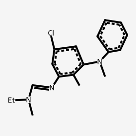 CCN(C)C=Nc1cc(Cl)cc(N(C)c2ccccc2)c1C